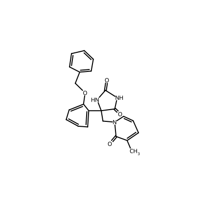 Cc1cccn(CC2(c3ccccc3OCc3ccccc3)NC(=O)NC2=O)c1=O